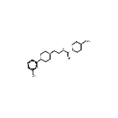 CO[C@H]1CC[C@H](C(O)NCCN2CCC(c3cccc(C)n3)CC2)CC1